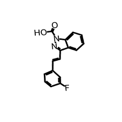 O=C(O)n1nc(C=Cc2cccc(F)c2)c2ccccc21